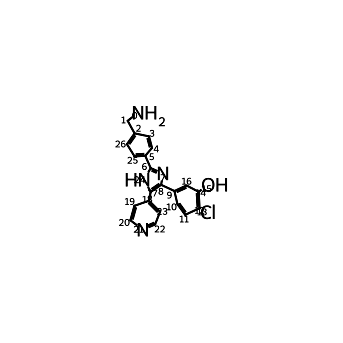 NCc1ccc(-c2nc(-c3ccc(Cl)c(O)c3)c(-c3ccncc3)[nH]2)cc1